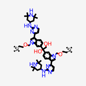 CC1(C)CC(Nc2nccc(-c3cn(COCC[Si](C)(C)C)c4cc(C(O)(CO)c5ccc6c(-c7ccnc(NC8CC(C)(C)NC(C)(C)C8)n7)cn(COCC[Si](C)(C)C)c6c5)ccc34)n2)CC(C)(C)N1